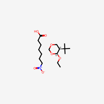 CCO[C@H]1OCOC[C@H]1C(C)(C)C.O=C(O)CCCCCC[N+](=O)[O-]